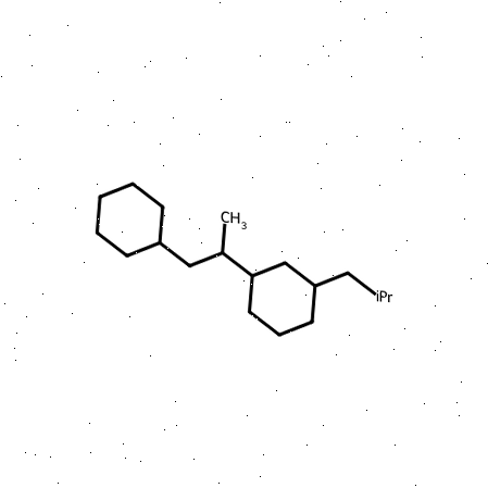 CC(C)CC1CCCC(C(C)CC2CCCCC2)C1